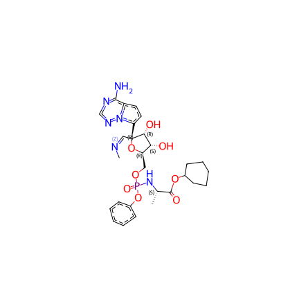 C/N=C\[C@@]1(c2ccc3c(N)ncnn23)O[C@H](COP(=O)(N[C@@H](C)C(=O)OC2CCCCC2)Oc2ccccc2)[C@@H](O)[C@H]1O